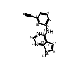 C#Cc1cccc(Nc2ncnc3c2ccn3C)c1